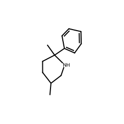 CC1CCC(C)(c2ccccc2)NC1